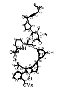 CCn1c(-c2cccnc2COC)c2c3cc(ccc31)-c1cc(O)cc(c1)C[C@H](NC(=O)[C@@H](C(C)C)N(C)C(=O)[C@H]1CCN(C(=O)C#CCN(C)C)C1)C(=O)N1CCC[C@H](N1)C(=O)OCC(C)(C)C2